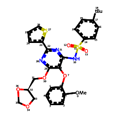 COc1ccccc1Oc1c(NS(=O)(=O)c2ccc(C(C)(C)C)cc2)nc(-c2cccs2)nc1OC[C@H]1COCO1